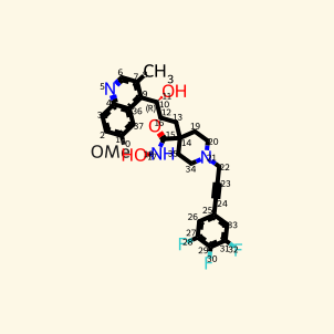 COc1ccc2ncc(C)c([C@H](O)CCC3(C(=O)NO)CCN(CC#Cc4cc(F)c(F)c(F)c4)CC3)c2c1